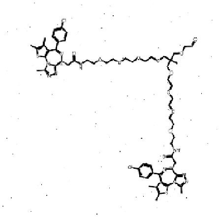 Cc1sc2c(c1C)C(c1ccc(Cl)cc1)=N[C@@H](CC(=O)NCCOCCOCCOCCOCC(C)(COCC=O)COCCOCCOCCOCCNC(=O)C[C@@H]1N=C(c3ccc(Cl)cc3)c3c(sc(C)c3C)-n3c(C)nnc31)c1nnc(C)n1-2